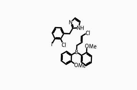 COc1ccccc1B(CC=CCl)c1ccccc1OC.Clc1c(I)cccc1Cc1ncc[nH]1